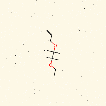 C=CCOC(C)(C)C(C)(C)OCC